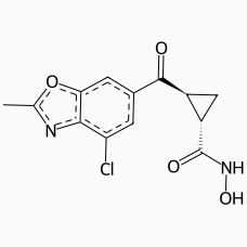 Cc1nc2c(Cl)cc(C(=O)[C@H]3C[C@@H]3C(=O)NO)cc2o1